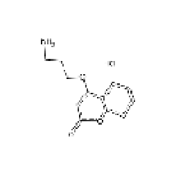 Cl.NCCCOc1cc(=O)oc2ccccc12